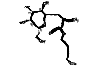 C=C(CC1O[C@H](CO)[C@H](O)[C@H](O)[C@H]1O)C(=O)OCCOCC